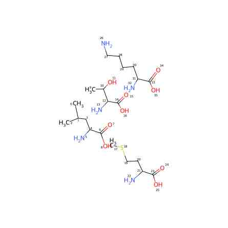 CC(C)CC(N)C(=O)O.CC(O)C(N)C(=O)O.CSCCC(N)C(=O)O.NCCCCC(N)C(=O)O